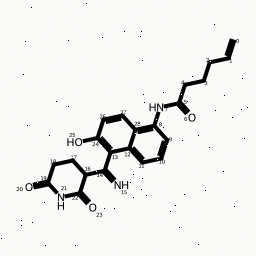 C=CCCCC(=O)Nc1cccc2c(C(=N)C3CCC(=O)NC3=O)c(O)ccc12